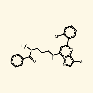 CN(CCCNc1cc(-c2ccccc2Cl)nc2c(Br)cnn12)C(=O)c1ccncc1